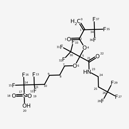 C=C(C(=O)OC(OCCCCC(F)(F)C(F)(F)S(=O)(=O)O)(C(=O)NCCC(F)(F)F)C(F)(F)F)C(F)(F)F